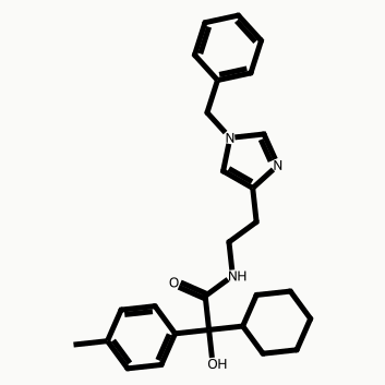 Cc1ccc(C(O)(C(=O)NCCc2cn(Cc3ccccc3)cn2)C2CCCCC2)cc1